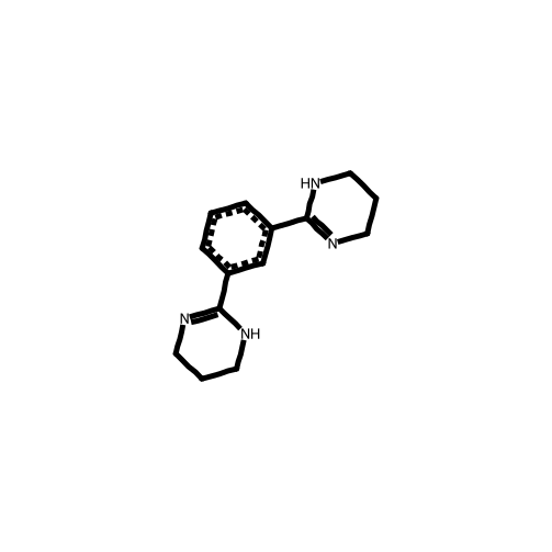 c1cc(C2=NCCCN2)cc(C2=NCCCN2)c1